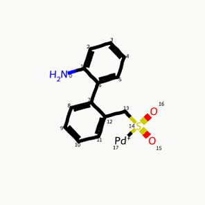 Nc1ccccc1-c1ccccc1C[S](=O)(=O)[Pd+]